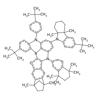 CC(C)(C)c1ccc(N2c3ccc(C(C)(C)C)cc3B3c4oc5cc6c(cc5c4N(c4ccc5c(c4)C(C)(C)CCC5(C)C)c4cc(N5c7ccc(C(C)(C)C)cc7C7(C)CCCCC57C)cc2c43)C2(C)CCC6(C)C2)cc1